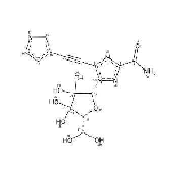 NC(=O)c1nc(C#Cc2ccsc2)n([C@@H]2O[C@H](C(O)O)C(O)(O)C2(O)O)n1